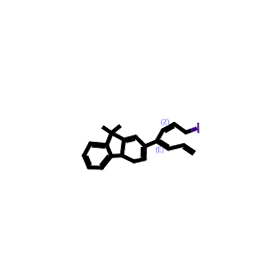 C=C/C=C(\C=C/CI)C1=CCC2C(=C1)C(C)(C)c1ccccc12